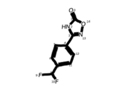 O=c1[nH]c(-c2ccc(C(F)F)cc2)no1